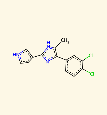 Cc1[nH]c(-c2cc[nH]c2)nc1-c1ccc(Cl)c(Cl)c1